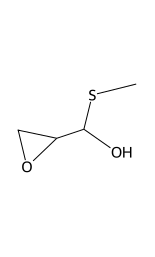 CSC(O)C1CO1